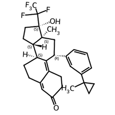 CC1(c2cccc([C@H]3C[C@@]4(C)[C@@H](CC[C@@]4(O)C(F)(F)C(F)(F)F)[C@@H]4CCC5=CC(=O)CCC5=C43)c2)CC1